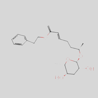 C=C(/C=C/CC[C@@H](C)O[C@@H]1O[C@@H](C)[C@H](O)C[C@H]1O)OCCc1ccccc1